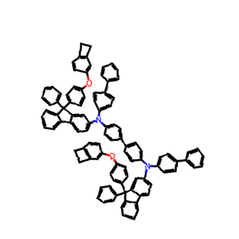 c1ccc(-c2ccc(N(c3ccc(-c4ccc(N(c5ccc(-c6ccccc6)cc5)c5ccc6c(c5)C(c5ccccc5)(c5ccc(Oc7ccc8c(c7)CC8)cc5)c5ccccc5-6)cc4)cc3)c3ccc4c(c3)C(c3ccccc3)(c3ccc(Oc5ccc6c(c5)CC6)cc3)c3ccccc3-4)cc2)cc1